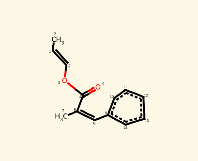 CC=COC(=O)C(C)=Cc1ccccc1